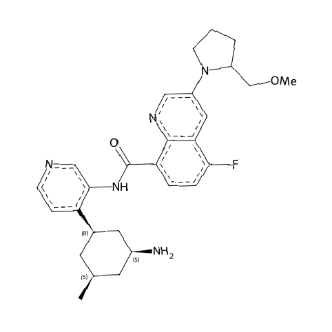 COCC1CCCN1c1cnc2c(C(=O)Nc3cnccc3[C@@H]3C[C@H](C)C[C@H](N)C3)ccc(F)c2c1